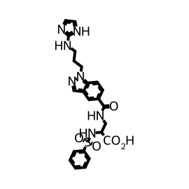 O=C(NCC(NS(=O)(=O)c1ccccc1)C(=O)O)c1ccc2c(cnn2CCCNc2ncc[nH]2)c1